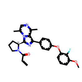 C=CC(=O)N1CCC[C@H]1c1nc(-c2ccc(Oc3cccc(OC)c3F)cc2)c2c(C)ncc(C)n12